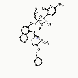 C[C@H](/N=[P+](\[O-])Oc1c(OC[C@@]2(N=[N+]=[N-])O[C@@H](n3ccc(N)nc3=O)[C@H](O)[C@@H]2F)ccc2ccccc12)C(=O)OCc1ccccc1